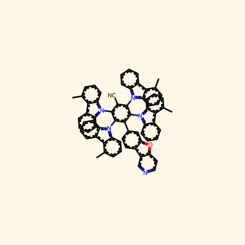 Cc1cccc2c1c1ccccc1n2-c1c(C#N)c(-n2c3ccccc3c3c(C)cccc32)c(-n2c3ccccc3c3c(C)cccc32)c(-c2ccc3c(c2)oc2ccncc23)c1-n1c2ccccc2c2c(C)cccc21